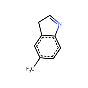 FC(F)(F)c1ccc2c(c1)CC=N2